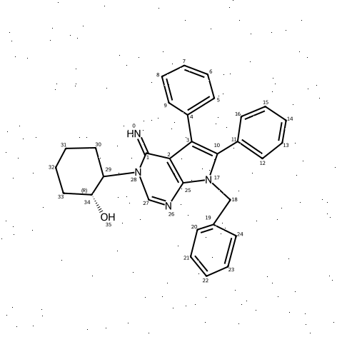 N=c1c2c(-c3ccccc3)c(-c3ccccc3)n(Cc3ccccc3)c2ncn1C1CCCC[C@H]1O